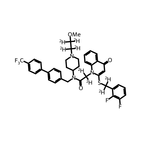 [2H]C([2H])(Sc1cc(=O)c2ccccc2n1C([2H])([2H])C(=O)N(Cc1ccc(-c2ccc(C(F)(F)F)cc2)cc1)C1CCN(C([2H])([2H])C([2H])([2H])OC)CC1)c1cccc(F)c1F